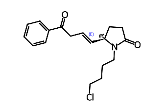 O=C(C/C=C/[C@H]1CCC(=O)N1CCCCCl)c1ccccc1